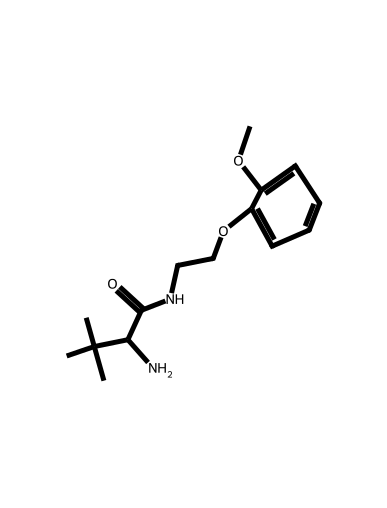 COc1ccccc1OCCNC(=O)C(N)C(C)(C)C